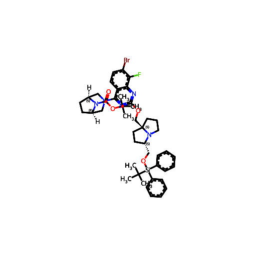 CC(C)(C)OC(=O)N1[C@@H]2CC[C@H]1CN(c1nc(OC[C@@]34CCCN3[C@H](CO[Si](c3ccccc3)(c3ccccc3)C(C)(C)C)CC4)nc3c(F)c(Br)ccc13)C2